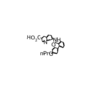 CCCOc1ccc(-c2ccccc2C(=O)Nc2ccc3cc(C(=O)O)cnc3c2)cc1